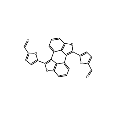 O=Cc1ccc(-c2sc3cccc4c5c(-c6ccc(C=O)o6)sc6cccc(c2c34)c65)o1